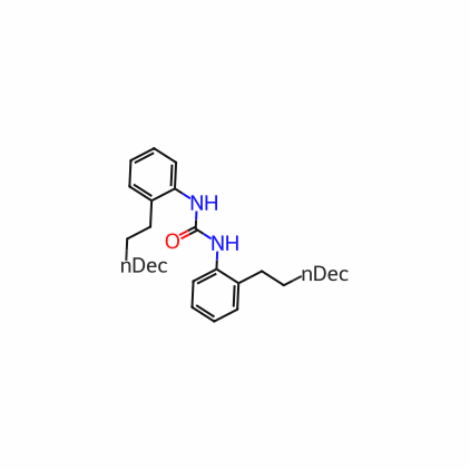 CCCCCCCCCCCCc1ccccc1NC(=O)Nc1ccccc1CCCCCCCCCCCC